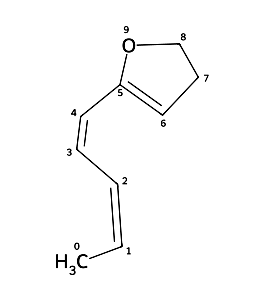 C/C=C\C=C/C1=CCCO1